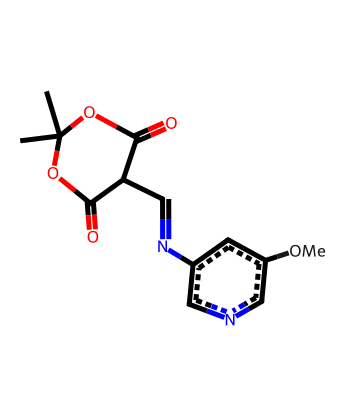 COc1cncc(N=CC2C(=O)OC(C)(C)OC2=O)c1